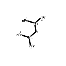 CCCN([CH]N(CCC)CCC)CCC